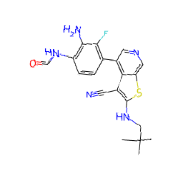 CC(C)(C)CNc1sc2cncc(-c3ccc(NC=O)c(N)c3F)c2c1C#N